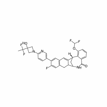 CC(F)(F)C1(O)CN(c2ccc(-c3cc4c(cc3F)CC3C(=C4)[C@H]4CC3NC(=O)c3cccc(OC(F)F)c34)cn2)C1